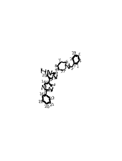 c1ccc(CN2CCC[C@@H](c3nc(-c4cnc(-c5ccccc5)nc4)c[nH]3)C2)cc1